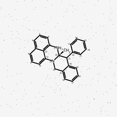 C[C@]12Nc3cccc4cccc(c34)N1Cc1ccccc1C2c1ccccc1